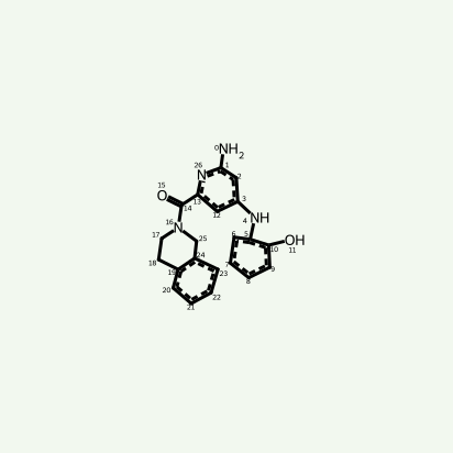 Nc1cc(Nc2ccccc2O)cc(C(=O)N2CCc3ccccc3C2)n1